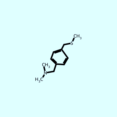 CSCc1ccc(CN(C)C)cc1